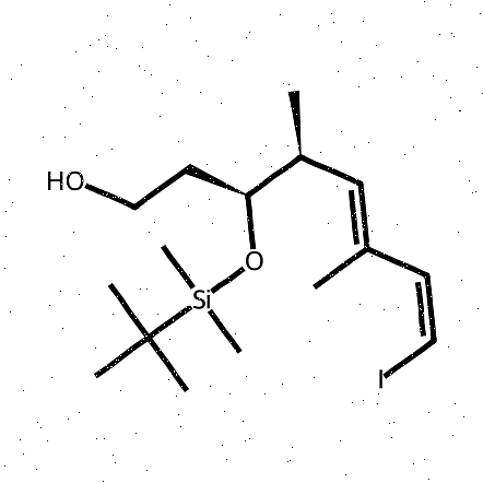 CC(/C=C\I)=C\[C@H](C)[C@H](CCO)O[Si](C)(C)C(C)(C)C